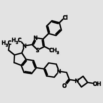 CCC1Cc2ccc(C3=CCN(CC(=O)N4CC(O)C4)CC3)cc2C1N(C)c1nc(-c2ccc(Cl)cc2)c(C)s1